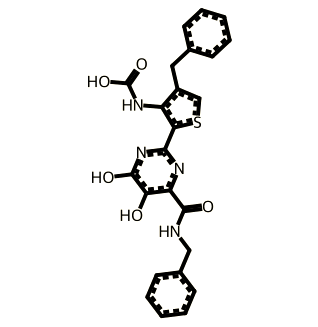 O=C(O)Nc1c(Cc2ccccc2)csc1-c1nc(O)c(O)c(C(=O)NCc2ccccc2)n1